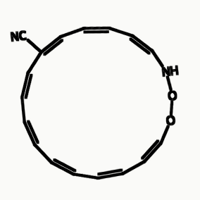 N#Cc1ccccccccccoo[nH]ccccc1